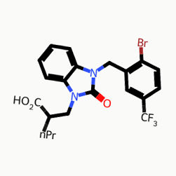 CCCC(Cn1c(=O)n(Cc2cc(C(F)(F)F)ccc2Br)c2ccccc21)C(=O)O